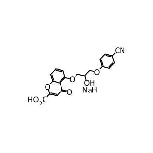 N#Cc1ccc(OCC(O)COc2cccc3oc(C(=O)O)cc(=O)c23)cc1.[NaH]